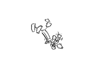 COc1nc(-c2ccc(Cl)cc2)c(-c2ccc(Cl)cc2)cc1CN/C(=N/S(=O)(=O)c1ccccc1)NC(=O)OC(C)(C)C